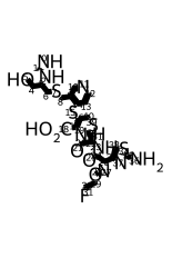 N=CNC(CO)CSCc1cnccc1SC1=C(C(=O)O)N2C(=O)[C@@H](NC(=O)/C(=N\OCCF)c3csc(N)n3)[C@@H]2SC1